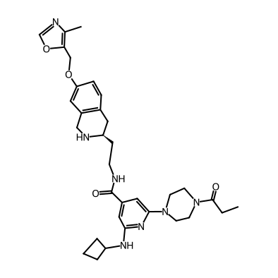 CCC(=O)N1CCN(c2cc(C(=O)NCC[C@@H]3Cc4ccc(OCc5ocnc5C)cc4CN3)cc(NC3CCC3)n2)CC1